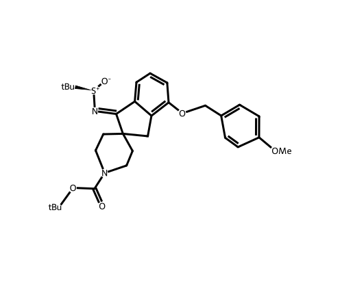 COc1ccc(COc2cccc3c2CC2(CCN(C(=O)OC(C)(C)C)CC2)/C3=N/[S@+]([O-])C(C)(C)C)cc1